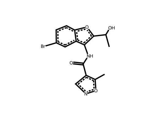 Cc1oncc1C(=O)Nc1c(C(C)O)oc2ccc(Br)cc12